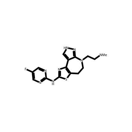 CNCCN1CCc2sc(Nc3ncc(F)cn3)nc2-c2c[nH]nc21